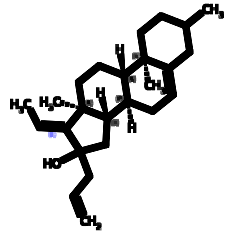 C=CCC1(O)C[C@H]2[C@@H]3CC=C4CC(C)CC[C@]4(C)[C@H]3CC[C@]2(C)/C1=C\C